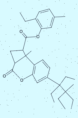 CCc1ccc(C)cc1OC(=O)C1CC2C(=O)Oc3cc(C(CC)(CC)C(C)(CC)CC)ccc3C12C